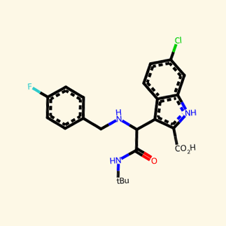 CC(C)(C)NC(=O)C(NCc1ccc(F)cc1)c1c(C(=O)O)[nH]c2cc(Cl)ccc12